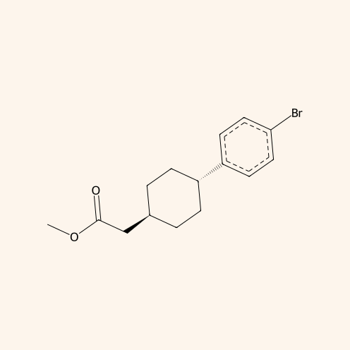 COC(=O)C[C@H]1CC[C@H](c2ccc(Br)cc2)CC1